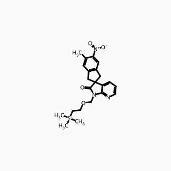 Cc1cc2c(cc1[N+](=O)[O-])CC1(C2)C(=O)N(COCC[Si](C)(C)C)c2ncccc21